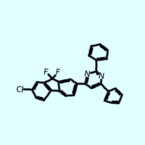 FC1(F)c2cc(Cl)ccc2-c2ccc(-c3cc(-c4ccccc4)nc(-c4ccccc4)n3)cc21